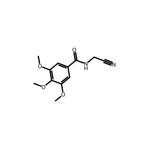 COc1cc(C(=O)NCC#N)cc(OC)c1OC